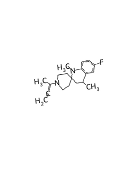 C=C=C(C)N1CCC2(CC1)CC(C)c1cc(F)ccc1N2C